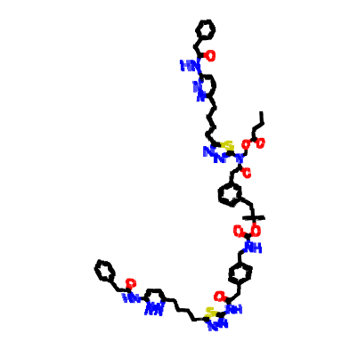 CCCC(=O)OCN(C(=O)Cc1cccc(CC(C)(C)OC(=O)NCc2ccc(CC(=O)Nc3nnc(CCCCc4ccc(NC(=O)Cc5ccccc5)nn4)s3)cc2)c1)c1nnc(CCCCc2ccc(NC(=O)Cc3ccccc3)nn2)s1